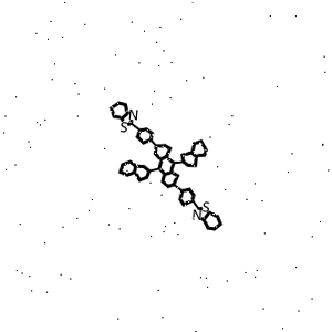 c1ccc2cc(-c3c4ccc(-c5ccc(-c6nc7ccccc7s6)cc5)cc4c(-c4ccc5ccccc5c4)c4ccc(-c5ccc(-c6nc7ccccc7s6)cc5)cc34)ccc2c1